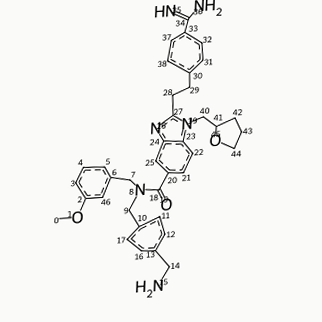 COc1cccc(CN(Cc2ccc(CN)cc2)C(=O)c2ccc3c(c2)nc(CCc2ccc(C(=N)N)cc2)n3CC2CCCO2)c1